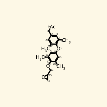 CC(=O)Cc1cc(C)c(Oc2cc(C)c(OCC3CO3)c(C)c2)c(C)c1